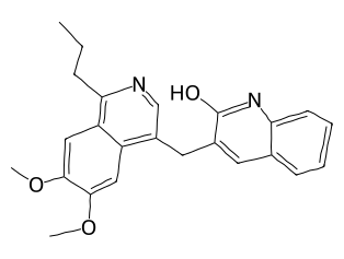 CCCc1ncc(Cc2cc3ccccc3nc2O)c2cc(OC)c(OC)cc12